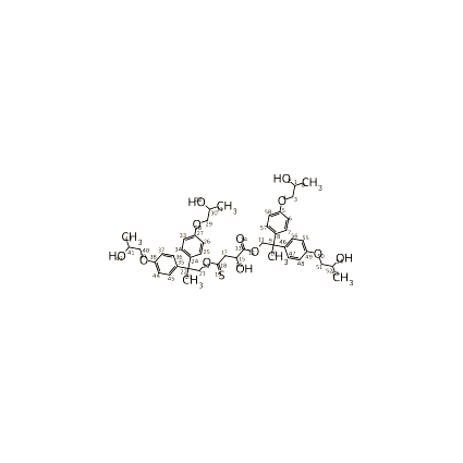 CC(O)COc1ccc(C(C)(COC(=O)C(O)CC(=S)OCC(C)(c2ccc(OCC(C)O)cc2)c2ccc(OCC(C)O)cc2)c2ccc(OCC(C)O)cc2)cc1